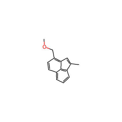 COCc1ccc2cccc3c2c1C=C3C